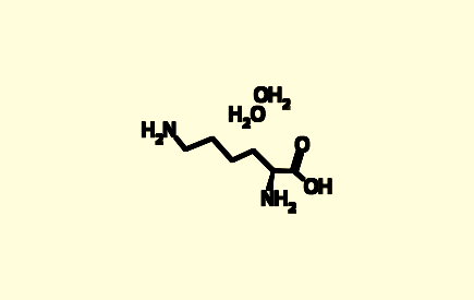 NCCCC[C@H](N)C(=O)O.O.O